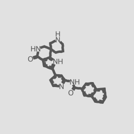 O=C(Nc1cc(-c2cc3c([nH]2)C2(CCCNC2)CNC3=O)ccn1)c1ccc2ccccc2c1